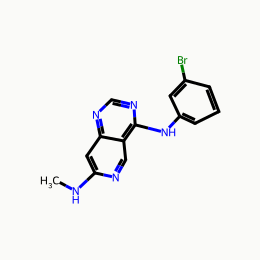 CNc1cc2ncnc(Nc3cccc(Br)c3)c2cn1